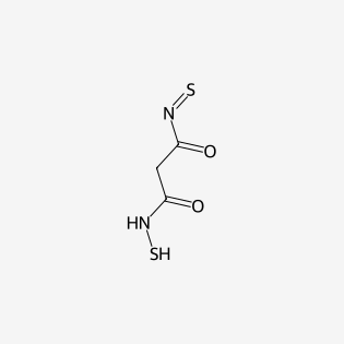 O=C(CC(=O)NS)N=S